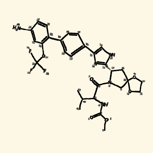 COC(=O)NC(C(=O)N1CC2(C[C@H]1c1nc(-c3ccc(-c4ccc(N)cc4OC(F)(F)F)cc3)c[nH]1)OCCO2)C(C)C